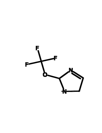 FC(F)(F)OC1[N]CC=N1